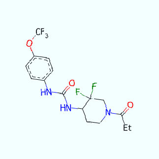 CCC(=O)N1CCC(NC(=O)Nc2ccc(OC(F)(F)F)cc2)C(F)(F)C1